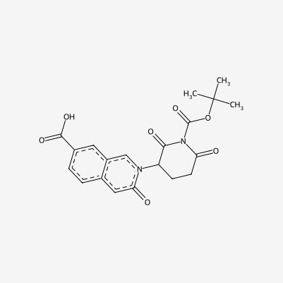 CC(C)(C)OC(=O)N1C(=O)CCC(n2cc3cc(C(=O)O)ccc3cc2=O)C1=O